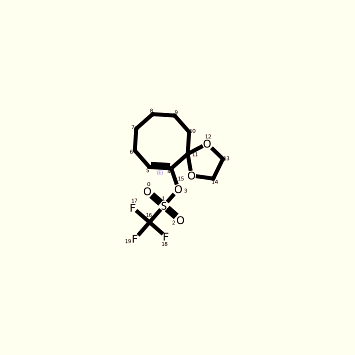 O=S(=O)(O/C1=C/CCCCCC12OCCO2)C(F)(F)F